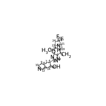 C=C(c1cnc(-c2cc3ccncc3cc2O)nn1)C1CC2NC(CC2(F)F)[C@@H]1OC